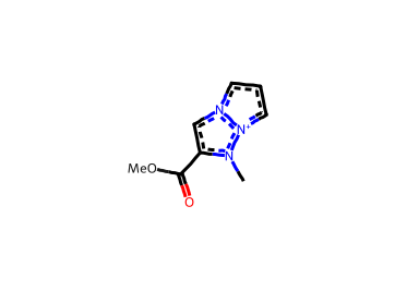 COC(=O)c1cn2ccc[n+]2n1C